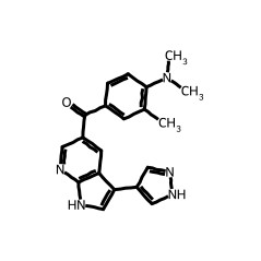 Cc1cc(C(=O)c2cnc3[nH]cc(-c4cn[nH]c4)c3c2)ccc1N(C)C